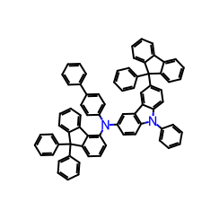 c1ccc(-c2ccc(N(c3ccc4c(c3)c3cc(C5(c6ccccc6)c6ccccc6-c6ccccc65)ccc3n4-c3ccccc3)c3cccc4c3-c3ccccc3C4(c3ccccc3)c3ccccc3)cc2)cc1